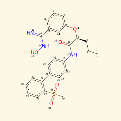 CCC[C@H](Oc1cccc(C(=N)NO)c1)C(=O)Nc1ccc(-c2ccccc2S(C)(=O)=O)cc1